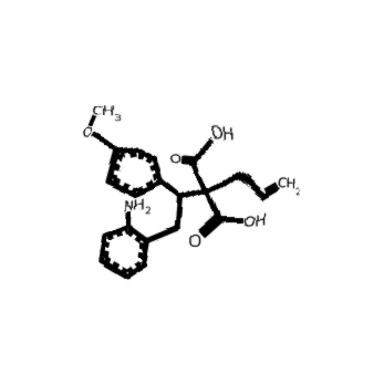 C=CCC(C(=O)O)(C(=O)O)C(Cc1ccccc1N)c1ccc(OC)cc1